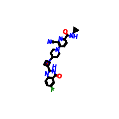 N#Cc1nc(C(=O)NC2CC2)ccc1N1CCC(N2CC3(c4nc5ccc(F)cc5c(=O)[nH]4)CC2C3)CC1